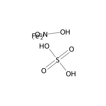 O=S(=O)(O)O.O=[N+]([O-])O.[Fe+3]